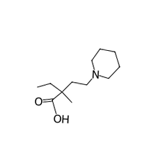 CCC(C)(CCN1CCCCC1)C(=O)O